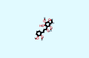 COc1cccc(C=CC(=O)c2c(O)c(OC)c3occc3c2OC)c1OC